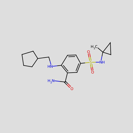 CC1(NS(=O)(=O)c2ccc(NCC3CCCC3)c(C(N)=O)c2)CC1